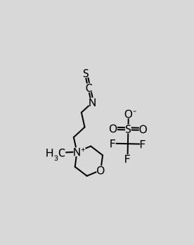 C[N+]1(CCCN=C=S)CCOCC1.O=S(=O)([O-])C(F)(F)F